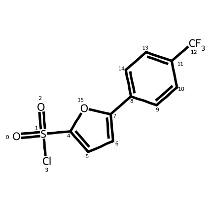 O=S(=O)(Cl)c1ccc(-c2ccc(C(F)(F)F)cc2)o1